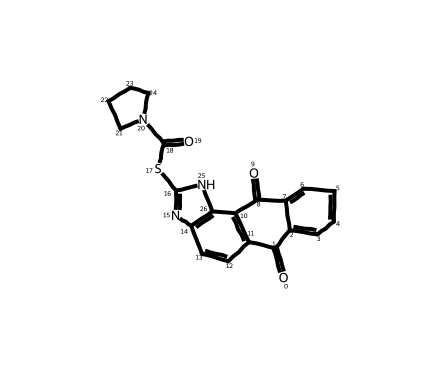 O=C1c2ccccc2C(=O)c2c1ccc1nc(SC(=O)N3CCCC3)[nH]c21